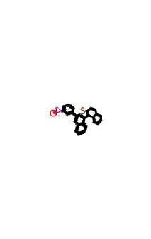 CP(C)(=O)c1cccc(-c2cc3ccccc3c3c2sc2ccc4ccccc4c23)c1